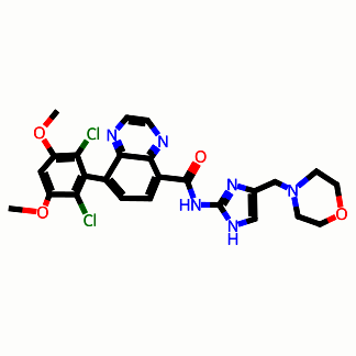 COc1cc(OC)c(Cl)c(-c2ccc(C(=O)Nc3nc(CN4CCOCC4)c[nH]3)c3nccnc23)c1Cl